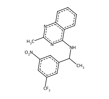 Cc1nc(NC(C)c2cc([N+](=O)[O-])cc(C(F)(F)F)c2)c2ccccc2n1